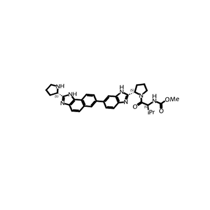 COC(=O)N[C@H](C(=O)N1CCC[C@H]1c1nc2ccc(-c3ccc4c(ccc5nc([C@@H]6CCCN6)[nH]c54)c3)cc2[nH]1)C(C)C